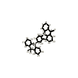 C=c1c2ccccc2n2c3ccc(N4c5ccccc5C(C)(C)c5ccccc54)cc3c3cccc1c32